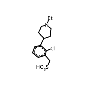 CCN1CCC(c2cccc(CS(=O)(=O)O)c2Cl)CC1